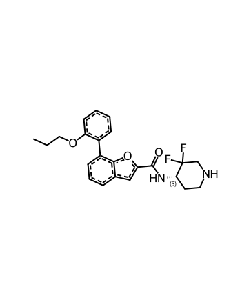 CCCOc1ccccc1-c1cccc2cc(C(=O)N[C@H]3CCNCC3(F)F)oc12